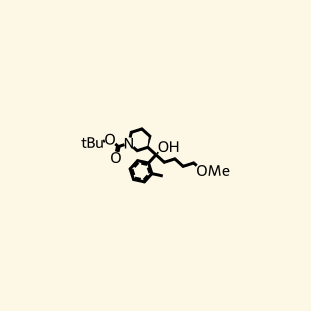 COCCCC[C@@](O)(c1ccccc1C)[C@@H]1CCCN(C(=O)OC(C)(C)C)C1